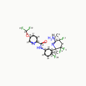 C[C@]1(F)CC(F)(F)[C@@](C)(c2cc(NC(=O)c3ccc(OC(F)F)cn3)ccc2F)N=C1N